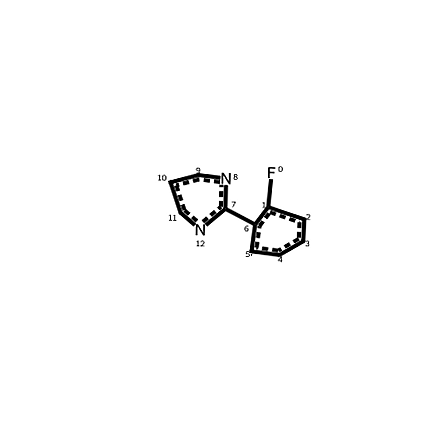 Fc1ccc[c]c1-c1ncccn1